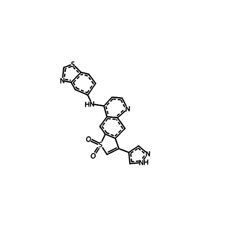 O=S1(=O)C=C(c2cn[nH]c2)c2cc3nccc(Nc4ccc5scnc5c4)c3cc21